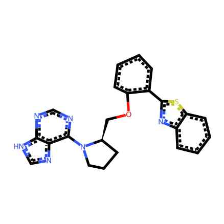 c1ccc(-c2nc3ccccc3s2)c(OC[C@H]2CCCN2c2ncnc3[nH]cnc23)c1